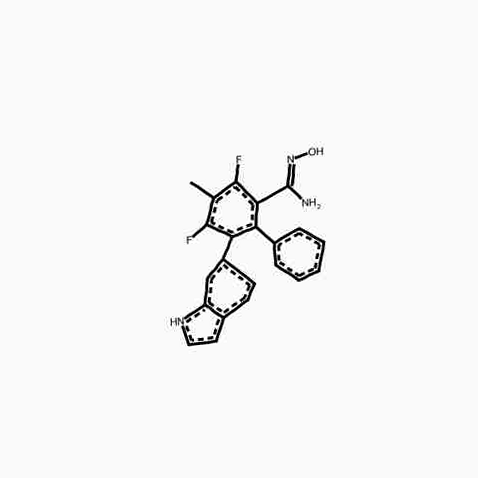 Cc1c(F)c(C(N)=NO)c(-c2ccccc2)c(-c2ccc3cc[nH]c3c2)c1F